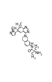 Cc1cc(-c2ccnn2C)cc2c(N3CCc4ccc(NC(=O)C(C)(C)N)cc4C3)ncnc12